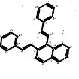 C(=C\c1ccc2ccccc2c1/C=C/c1ccccc1)/c1ccccc1